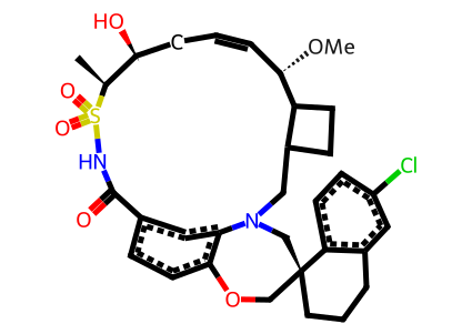 CO[C@H]1C=CC[C@H](O)[C@H](C)S(=O)(=O)NC(=O)c2ccc3c(c2)N(CC2CCC21)C[C@@]1(CCCc2cc(Cl)ccc21)CO3